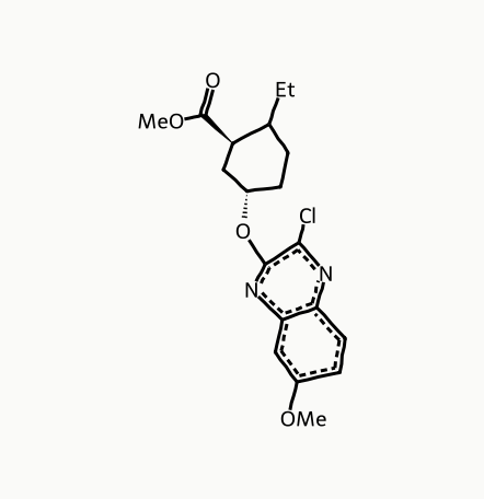 CCC1CC[C@H](Oc2nc3cc(OC)ccc3nc2Cl)C[C@H]1C(=O)OC